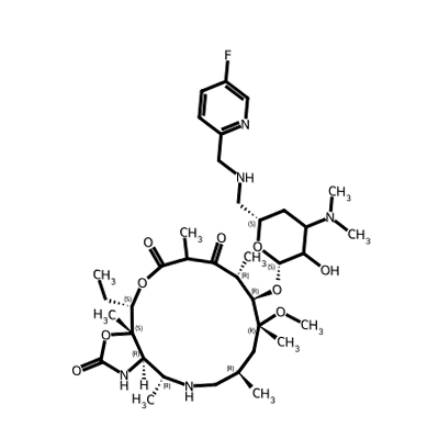 CC[C@@H]1OC(=O)C(C)C(=O)[C@H](C)[C@@H](O[C@@H]2O[C@H](CNCc3ccc(F)cn3)CC(N(C)C)C2O)[C@](C)(OC)C[C@@H](C)CN[C@H](C)[C@H]2NC(=O)O[C@]12C